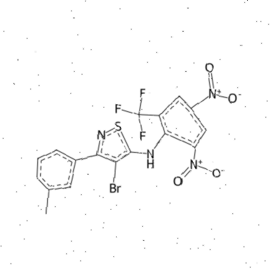 Cc1cccc(-c2nsc(Nc3c([N+](=O)[O-])cc([N+](=O)[O-])cc3C(F)(F)F)c2Br)c1